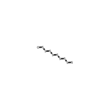 O=S=S=S=S=S=S=S=S=S